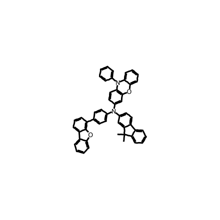 CC1(C)c2ccccc2-c2ccc(N(c3ccc(-c4cccc5c4oc4ccccc45)cc3)c3ccc4c(c3)Oc3ccccc3N4c3ccccc3)cc21